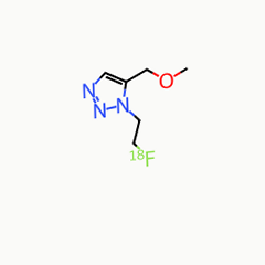 COCc1cnnn1CC[18F]